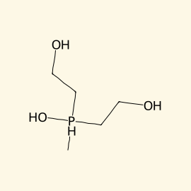 C[PH](O)(CCO)CCO